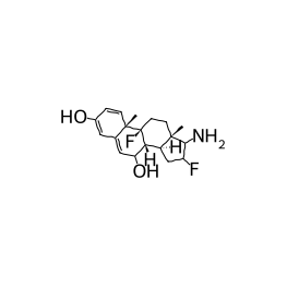 C[C@]12C=CC(O)=CC1=CC(O)[C@H]1[C@@H]3CC(F)C(N)[C@@]3(C)CC[C@]12F